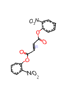 O=C(/C=C/C(=O)Oc1ccccc1[N+](=O)[O-])Oc1ccccc1[N+](=O)[O-]